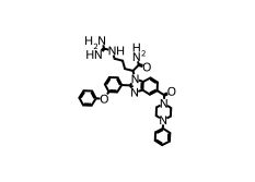 N=C(N)NCCCC(C(N)=O)n1c(-c2cccc(Oc3ccccc3)c2)nc2cc(C(=O)N3CCN(c4ccccc4)CC3)ccc21